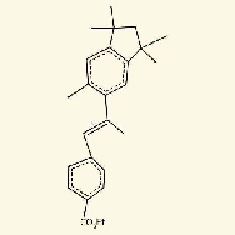 CCOC(=O)c1ccc(/C=C(\C)c2cc3c(cc2C)C(C)(C)CC3(C)C)cc1